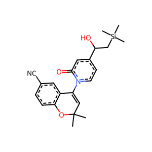 CC1(C)C=C(n2ccc(C(O)C[Si](C)(C)C)cc2=O)c2cc(C#N)ccc2O1